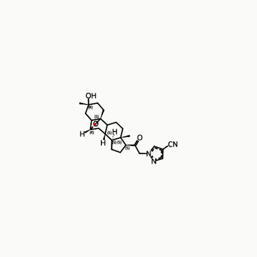 C[C@@]1(O)CC[C@]23CO[C@H](C[C@@H]4C2CC[C@]2(C)[C@@H](C(=O)Cn5cc(C#N)cn5)CC[C@@H]42)C3C1